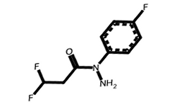 NN(C(=O)CC(F)F)c1ccc(F)cc1